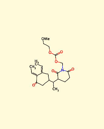 C/C=C1/CC(C(C)C2CCC(=O)N(COC(=O)OCCOC)C2=O)CC(=O)/C1=C/C